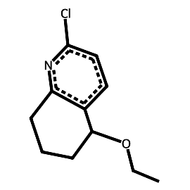 CCOC1CCCc2nc(Cl)ccc21